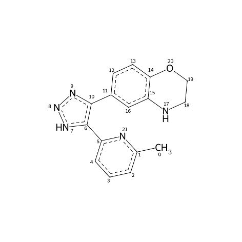 Cc1cccc(-c2[nH]nnc2-c2ccc3c(c2)NCCO3)n1